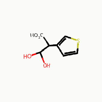 O=C(O)C(c1ccsc1)C(O)O